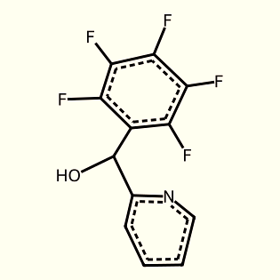 OC(c1ccccn1)c1c(F)c(F)c(F)c(F)c1F